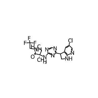 CC[C@@](C)(Nc1ncnc(C2CNc3ncc(Cl)cc32)n1)C(=O)NCC(F)(F)F